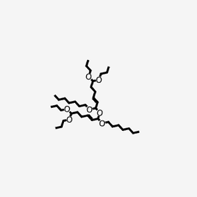 CCCCCCCOC(C=CCCC(OCCC)OCCC)OC(C=CCCC(OCCC)OCCC)OCCCCCCC